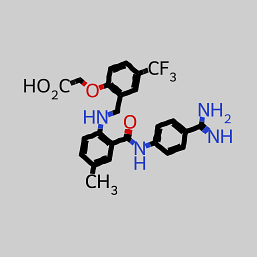 Cc1ccc(NCc2cc(C(F)(F)F)ccc2OCC(=O)O)c(C(=O)Nc2ccc(C(=N)N)cc2)c1